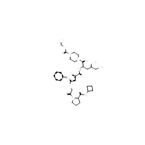 CCOC(=O)N1CCN(C(=O)C(CC(O)CO)NC(=O)c2cc(OCC(=O)N3CCCC3C(=O)NC3CCC3)n(-c3ccccc3)n2)CC1